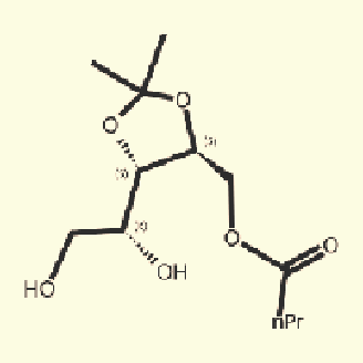 CCCC(=O)OC[C@@H]1OC(C)(C)O[C@H]1[C@H](O)CO